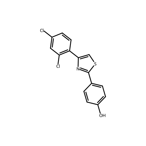 Oc1ccc(-c2nc(-c3ccc(Cl)cc3Cl)cs2)cc1